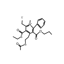 CCCOC(=O)c1c(CCSC(C)=O)c(C(=O)SCC)c(CC)[n+](C)c1-c1ccccc1.[I-]